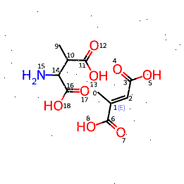 C/C(=C\C(=O)O)C(=O)O.CC(C(=O)O)C(N)C(=O)O